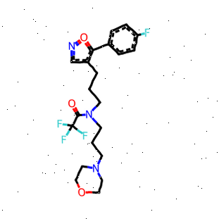 O=C(N(CCCc1cnoc1-c1ccc(F)cc1)CCCN1CCOCC1)C(F)(F)F